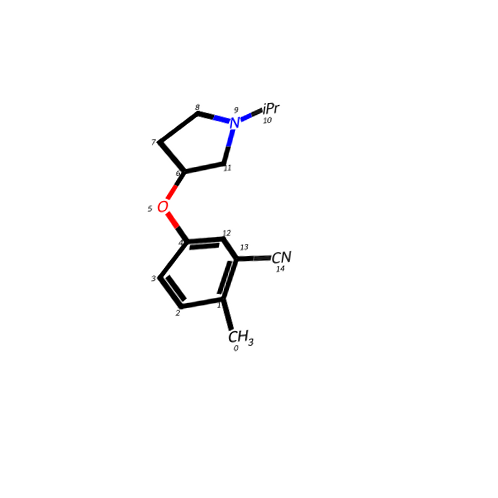 Cc1ccc(OC2CCN(C(C)C)C2)cc1C#N